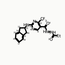 CCC(=O)NNC(=O)c1cnc(NC2Cc3ccccc3C2)nc1C(F)(F)F